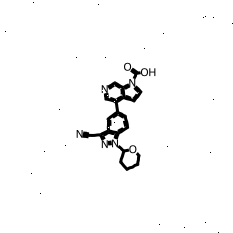 N#Cc1nn(C2CCCCO2)c2ccc(-c3cncc4c3ccn4C(=O)O)cc12